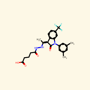 C/C(NNC(=O)CCCC(=O)O)=C1/C(=O)N(c2cc(C)cc(C)c2)c2cc(C(F)(F)F)ccc21